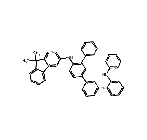 CC1(C)c2ccccc2-c2cc(Nc3ccc(-c4cccc(-c5ccccc5Nc5ccccc5)c4)cc3-c3ccccc3)ccc21